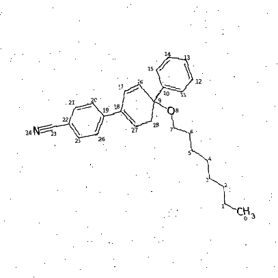 CCCCCCCCOC1(c2ccccc2)C=CC(c2ccc(C#N)cc2)=CC1